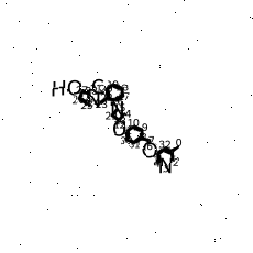 Cc1cncc(OCc2ccc(OC3CN(c4cccc(C(=O)O)c4Cn4cccc4)C3)cc2)c1